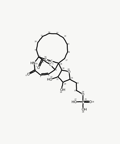 O=C1/C=C\C2CC(=O)C3(CCCCCCCCCC2(C2OC(CCOP(=O)(O)O)C(O)C2O)CC3)N1